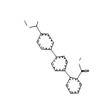 CCCCCCOC(C)c1ccc(-c2ccc(-c3ccccc3C(=O)OCCCC)cc2)cc1